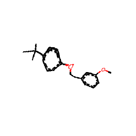 COc1cccc(COc2ccc(C(C)(C)C)cc2)c1